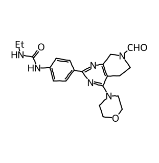 CCNC(=O)Nc1ccc(-c2nc3c(c(N4CCOCC4)n2)CCN(C=O)C3)cc1